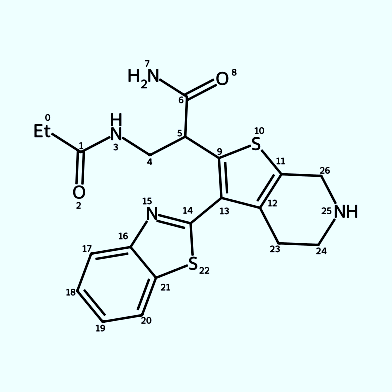 CCC(=O)NCC(C(N)=O)c1sc2c(c1-c1nc3ccccc3s1)CCNC2